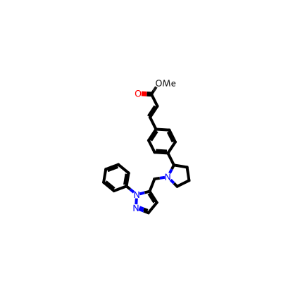 COC(=O)C=Cc1ccc(C2CCCN2Cc2ccnn2-c2ccccc2)cc1